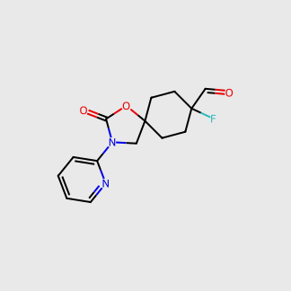 O=CC1(F)CCC2(CC1)CN(c1ccccn1)C(=O)O2